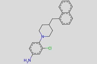 Nc1ccc(N2CCC(Cc3cccc4ccccc34)CC2)c(Cl)c1